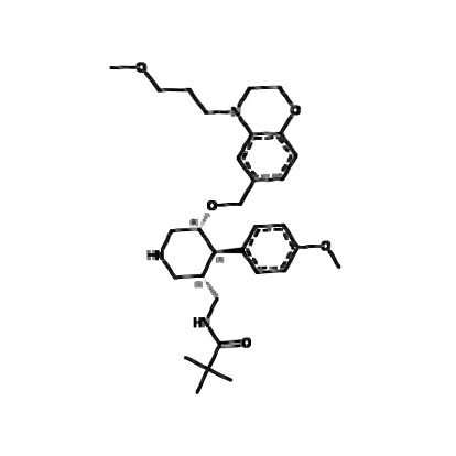 COCCCN1CCOc2ccc(CO[C@H]3CNC[C@@H](CNC(=O)C(C)(C)C)[C@@H]3c3ccc(OC)cc3)cc21